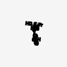 CC(C)CC(C[PH](=O)OCCc1ccc(NC(=O)c2ccccc2)cc1)C(=O)O